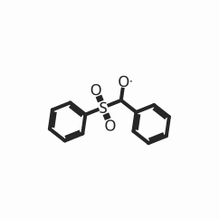 [O]C(c1ccccc1)S(=O)(=O)c1ccccc1